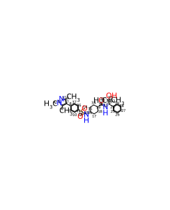 Cc1nn(C)c(C)c1-c1ccc(S(=O)(=O)N[C@H]2CC[C@H](C(=O)N[C@@H](c3ccccc3)C(C)(C)O)CC2)cc1